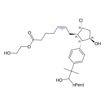 CCCCCC(O)C(C)(C)c1ccc([C@@H]2[C@@H](C/C=C\CCCC(=O)OCCO)[C@H](Cl)C[C@H]2O)cc1